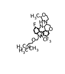 C[C@@H]1CN([C@H]2COc3ccccc3[C@@H]2Nc2c(F)ccc3c2nc(C(F)(F)F)n3COCC[Si](C)(C)C)CCO1